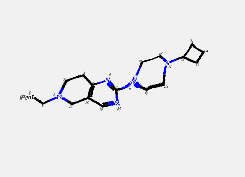 CCCC(C)CN1CCc2nc(N3CCN(C4CCC4)CC3)ncc2C1